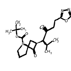 CC(C)C(C(=O)CCc1nnco1)[C@@H]1CC2(CCCN2C(=O)OC(C)(C)C)C1=O